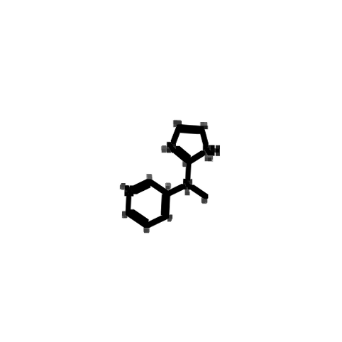 CN(c1[c]nccc1)c1ncc[nH]1